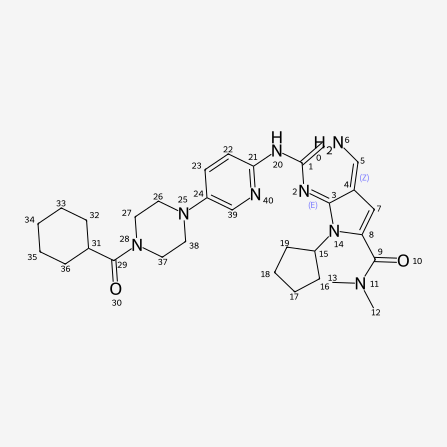 C=C(/N=C1\C(=C/N)C=C(C(=O)N(C)C)N1C1CCCC1)Nc1ccc(N2CCN(C(=O)C3CCCCC3)CC2)cn1